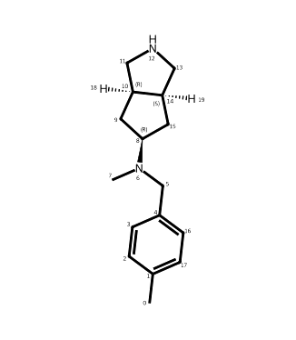 Cc1ccc(CN(C)[C@H]2C[C@H]3CNC[C@H]3C2)cc1